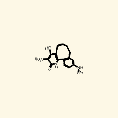 CCCNc1ccc2c(c1)CCCCc1c-2[nH]c(=O)c(C(=O)O)c1O